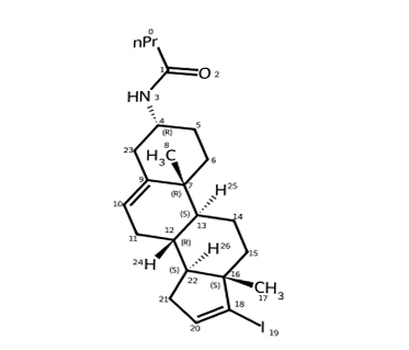 CCCC(=O)N[C@@H]1CC[C@@]2(C)C(=CC[C@@H]3[C@@H]2CC[C@]2(C)C(I)=CC[C@@H]32)C1